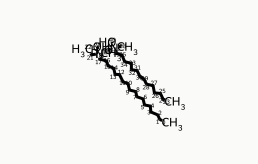 CCCCCCCCCCCCCCCCCC[N+](C)(O)CC.CCCCCCCCCCCCCC[N+](C)(C)O